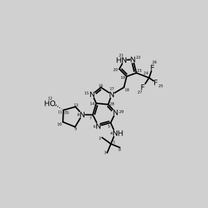 CC(C)(C)Nc1nc(N2CC[C@H](O)C2)c2ncn(Cc3c[nH]nc3C(F)(F)F)c2n1